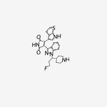 O=C1NC(=O)C(c2nn(C(CCF)C3CCNCC3)c3ccccc23)=C1c1c[nH]c2sccc12